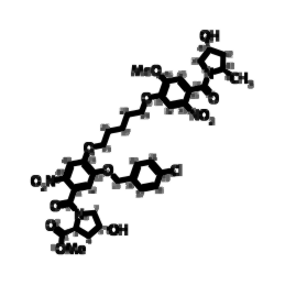 COC(=O)[C@@H]1C[C@@H](O)CN1C(=O)c1cc(OCc2ccc(Cl)cc2)c(OCCCCCOc2cc([N+](=O)[O-])c(C(=O)N3C[C@H](O)C[C@H]3C)cc2OC)cc1[N+](=O)[O-]